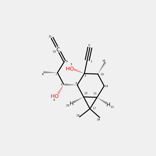 C#C[C@]1(O)[C@@H]([C@H](O)[C@H](C)C=C=C)[C@H]2[C@@H](C[C@H]1C)C2(C)C